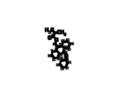 C=C(C)C(=O)OCc1c2ccccc2c(Oc2ccccc2)c2ccccc12